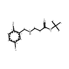 CC(C)(C)OC(=O)CCNCc1cc(F)ccc1F